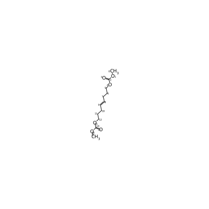 COC(=O)OCCCC=CCCCOC(=O)OC